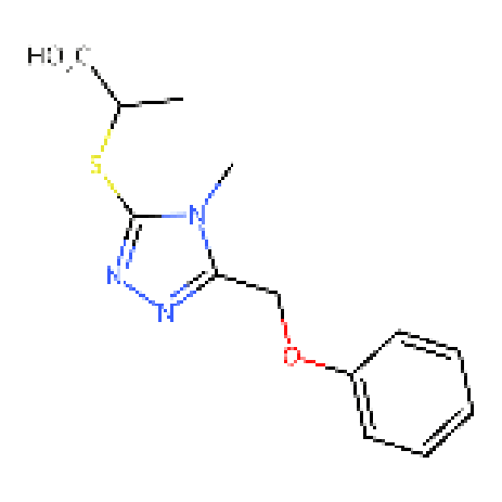 CC(Sc1nnc(COc2ccccc2)n1C)C(=O)O